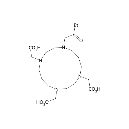 CCC(=O)CN1CCCN(CC(=O)O)CCN(CC(=O)O)CCCN(CC(=O)O)CC1